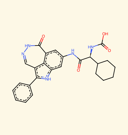 O=C(O)N[C@H](C(=O)Nc1cc2c3c(c(-c4ccccc4)[nH]c3c1)C=NNC2=O)C1CCCCC1